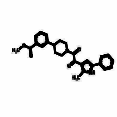 COC(=O)c1cccc(C2CCN(C(=O)C(=O)c3cc(-c4ccccc4)[nH]c3C)CC2)c1